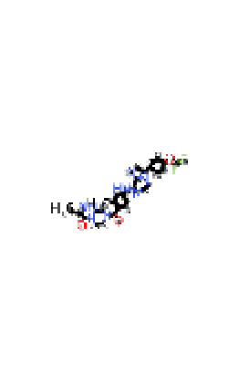 CC[C@@H](N)C(=O)N1CCN(C(=O)c2ccc(Nc3nccn4c(-c5ccc(OC(F)F)cc5)cnc34)cc2C)CC1